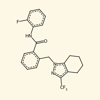 O=C(Nc1ccccc1F)c1ccccc1Cn1nc(C(F)(F)F)c2c1CCCC2